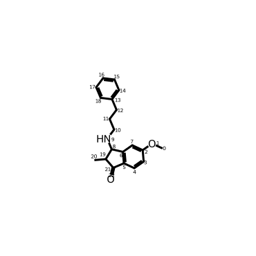 COc1ccc2c(c1)C(NCCCc1ccccc1)C(C)C2=O